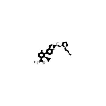 COCCN1CCC[C@@H]1CNc1ncc2cc(-c3c(C)ccc(C(N)=O)c3C3CC3)ccc2n1